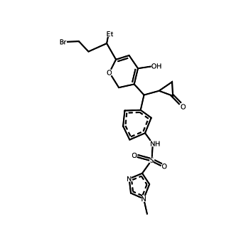 CCC(CCBr)C1=CC(O)=C(C(c2cccc(NS(=O)(=O)c3cn(C)cn3)c2)C2CC2=O)CO1